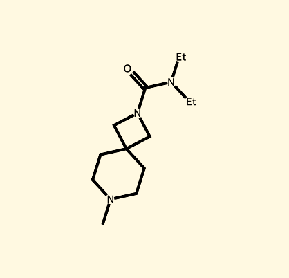 CCN(CC)C(=O)N1CC2(CCN(C)CC2)C1